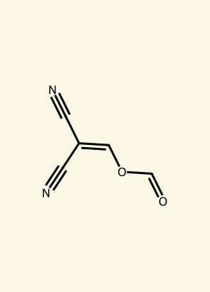 N#CC(C#N)=COC=O